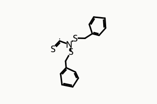 S=[C]N(SCc1ccccc1)SCc1ccccc1